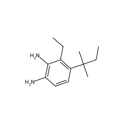 CCc1c(C(C)(C)CC)ccc(N)c1N